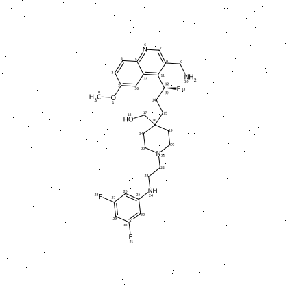 COc1ccc2ncc(CN)c([C@@H](F)CCC3(CO)CCN(CCNc4cc(F)cc(F)c4)CC3)c2c1